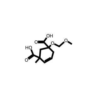 COCOC1(C(=O)O)CC=CC(C)(C(=O)O)C1